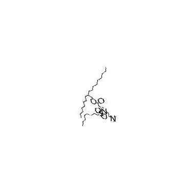 CCCCCCCCCC(CCCCCCCC)COC(=O)CCN(CCN(C)C)S(=O)(=O)CCCCCCCC